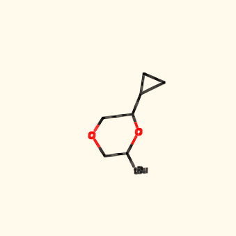 CC(C)(C)C1COCC(C2CC2)O1